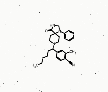 CCCCCC(c1ccc(C#N)c(C)c1)N1CCC2(CC1)C(=O)NCN2c1ccccc1